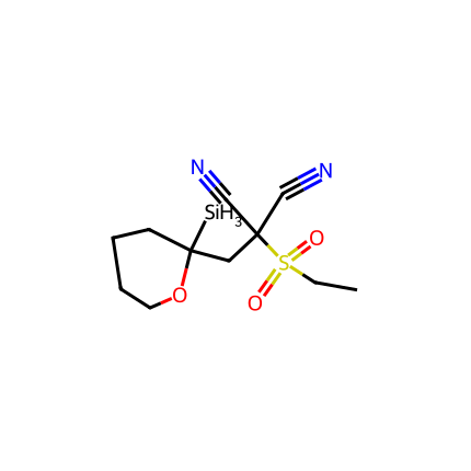 CCS(=O)(=O)C(C#N)(C#N)CC1([SiH3])CCCCO1